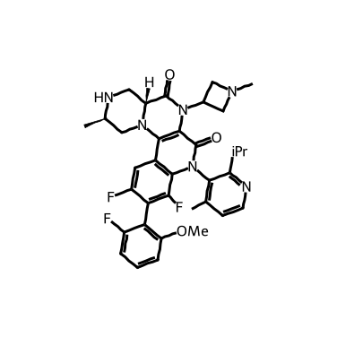 COc1cccc(F)c1-c1c(F)cc2c3c(c(=O)n(-c4c(C)ccnc4C(C)C)c2c1F)N(C1CN(C)C1)C(=O)[C@H]1CN[C@H](C)CN31